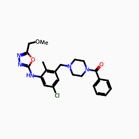 COCc1nnc(Nc2cc(Cl)cc(CN3CCN(C(=O)c4ccccc4)CC3)c2C)o1